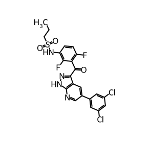 CCCS(=O)(=O)Nc1ccc(F)c(C(=O)c2n[nH]c3ncc(-c4cc(Cl)cc(Cl)c4)cc23)c1F